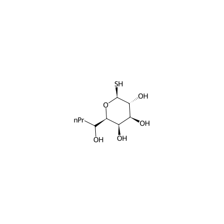 CCCC(O)[C@H]1O[C@@H](S)[C@H](O)[C@@H](O)[C@H]1O